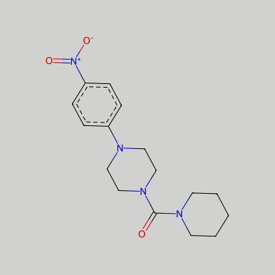 O=C(N1CCCCC1)N1CCN(c2ccc([N+](=O)[O-])cc2)CC1